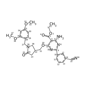 CCOC(=O)c1c(N)nc(-c2cccc(C#N)c2)nc1OCC1CC(=O)N(Cc2ccc(OC)cc2OC)C1